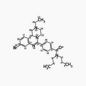 CCCN(CCC)C(=O)c1ccc(/C(=N/c2cccc(Br)c2)N2CCN(CC)CC2)cc1